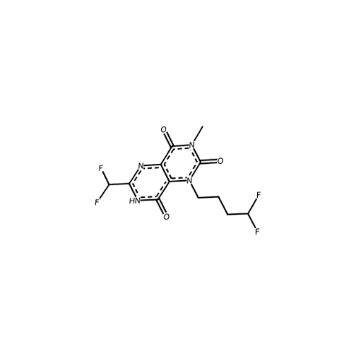 Cn1c(=O)c2nc(C(F)F)[nH]c(=O)c2n(CCCC(F)F)c1=O